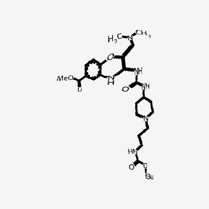 COC(=O)c1ccc2c(c1)NC(NC(=O)NC1CCN(CCCNC(=O)OC(C)(C)C)CC1)C(=CN(C)C)O2